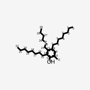 CCCCCCCCc1cc(C)c(O)c(CCCCCCCC)c1CSCCCC